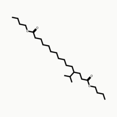 CCCCOC(=O)CCCCCCCCCCC(CCC(=O)OCCCC)C(C)C